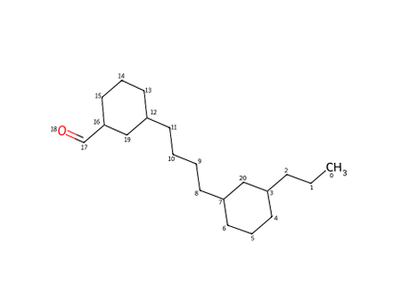 CCCC1CCCC(CCCCC2CCCC(C=O)C2)C1